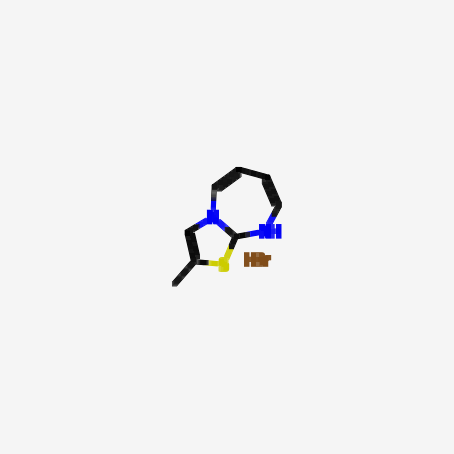 Br.CC1=CN2C=CC=CNC2S1